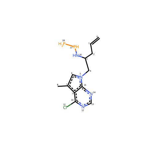 C=CCC(Cn1cc(C)c2c(Cl)ncnc21)NPP